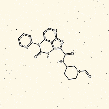 O=CN1CCCC(NC(=O)c2sc3nccc4c3c2NC(=O)N4c2ccccn2)C1